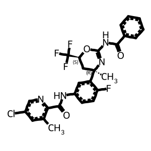 Cc1cc(Cl)cnc1C(=O)Nc1ccc(F)c([C@@]2(C)C[C@@H](C(F)(F)F)OC(NC(=O)c3ccccc3)=N2)c1